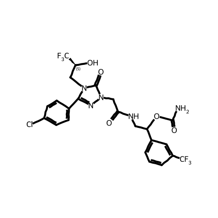 NC(=O)OC(CNC(=O)Cn1nc(-c2ccc(Cl)cc2)n(C[C@H](O)C(F)(F)F)c1=O)c1cccc(C(F)(F)F)c1